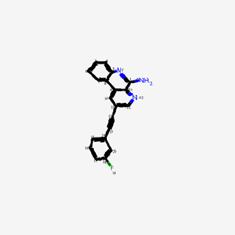 Nc1nc2ccccc2c2cc(C#Cc3cccc(F)c3)cnc12